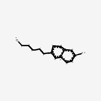 [O]CCCCCc1ccc2cc(F)ccc2c1